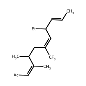 C/C=C/C(C=C(CC(C)/C(C)=C\C(C)=O)C(F)(F)F)CC